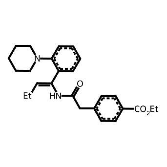 CC/C=C(\NC(=O)Cc1ccc(C(=O)OCC)cc1)c1ccccc1N1CCCCC1